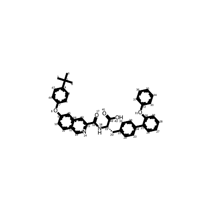 CC(C)(C)c1ccc(Oc2ccc3cnc(C(=O)N[C@@H](Cc4ccc(-c5ccccc5Oc5ccccc5)cc4)C(=O)O)cc3c2)cc1